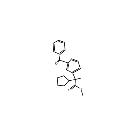 COC(=O)C(C)(c1cccc(C(=O)c2ccccc2)c1)C1CCCC1